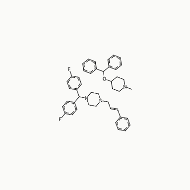 CN1CCC(OC(c2ccccc2)c2ccccc2)CC1.Fc1ccc(C(c2ccc(F)cc2)N2CCN(C/C=C/c3ccccc3)CC2)cc1